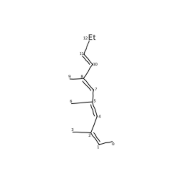 C\C=C(C)/C=C(C)/C=C(C)/C=C/CC